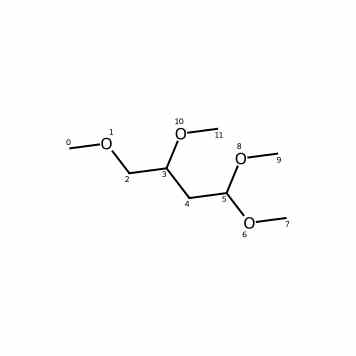 COCC(CC(OC)OC)OC